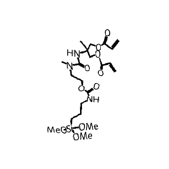 C=CC(=O)OCC(C)(COC(=O)C=C)NC(=O)N(C)CCOC(=O)NCCC[Si](OC)(OC)OC